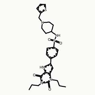 CCCn1c(=O)c2[nH]c(-c3ccc(S(=O)(=O)NC4CCN(Cc5cccs5)CC4)cc3)cc2n(CCC)c1=O